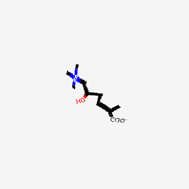 CC(=CCC(O)C[N+](C)(C)C)C(=O)[O-]